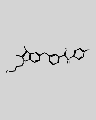 Cc1c(C)n(CCCCl)c2ccc(Cc3cccc(C(=O)Nc4ccc(F)cc4)c3)cc12